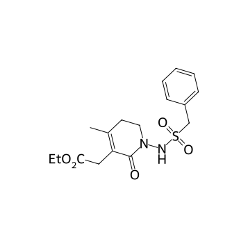 CCOC(=O)CC1=C(C)CCN(NS(=O)(=O)Cc2ccccc2)C1=O